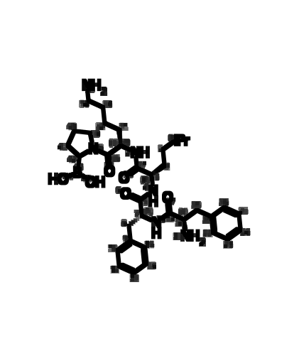 CC(C)CC[C@@H](NC(=O)[C@@H](Cc1ccccc1)NC(=O)[C@H](N)Cc1ccccc1)C(=O)N[C@H](CCCCN)C(=O)N1CCCC1B(O)O